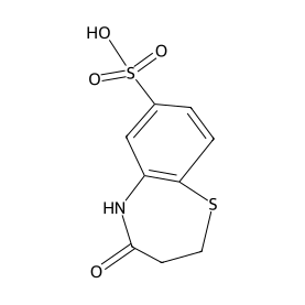 O=C1CCSc2ccc(S(=O)(=O)O)cc2N1